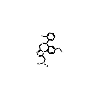 CCSc1ccc2c(c1)C(c1ccccc1Cl)=NCc1nnc(CN(O)CC)n1-2